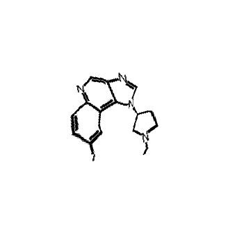 CN1CC[C@H](n2cnc3cnc4ccc(I)cc4c32)C1